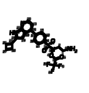 NCCN(OC(=O)C(F)(F)F)S(=O)(=O)c1ccc(-c2ccnc3[nH]c(C4=CC=C4)cc23)cc1